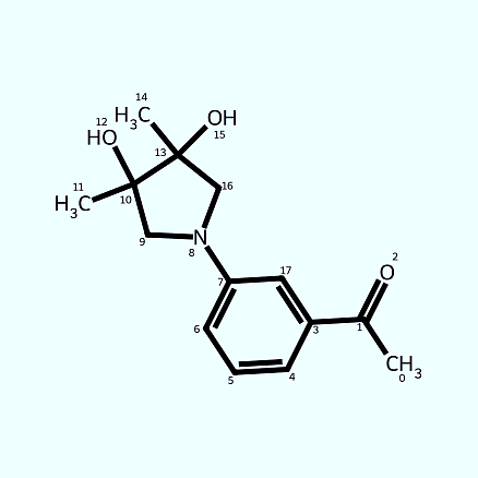 CC(=O)c1cccc(N2CC(C)(O)C(C)(O)C2)c1